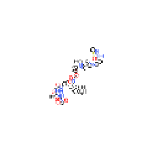 Cc1c(-c2ccc(N3CCc4cccc(C(=O)Nc5nc6ccccc6s5)c4C3)nc2C(=O)O)cnn1CC12CC3(C)CC(C)(C1)CC(OCCN(CCS(=O)(=O)O)C(=O)OCc1ccc(NC(=O)[C@H](C)NC(=O)[C@@H](NC(=O)CN4C(=O)C=CC4=O)C(C)C)cc1CCCCC(=O)O)(C3)C2